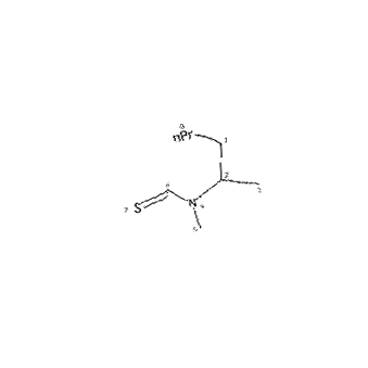 CCCCC(C)N(C)[C]=S